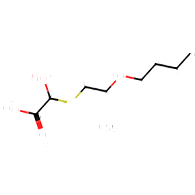 CCCCOCCSC(O)C(=O)O.[Sb]